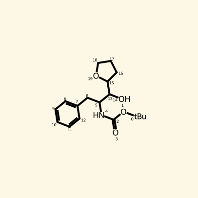 CC(C)(C)OC(=O)NC(Cc1ccccc1)C(O)C1CCCO1